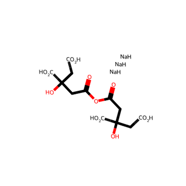 O=C(O)CC(O)(CC(=O)OC(=O)CC(O)(CC(=O)O)C(=O)O)C(=O)O.[NaH].[NaH].[NaH]